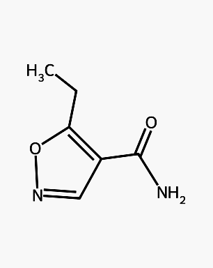 CCc1oncc1C(N)=O